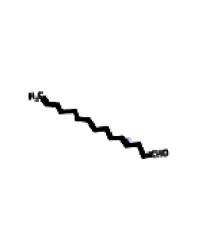 C=CCCCCCCCC/C=C/CCC=O